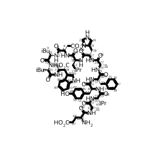 CC[C@H](C)[C@H](NC(=O)[C@H](CC(=O)O)NC(=O)[C@H](CC(C)C)NC(=O)[C@H](Cc1c[nH]cn1)NC(=O)[C@H](C)NC(=O)[C@H](Cc1ccccc1)NC(=O)[C@H](Cc1ccc(O)cc1)NC(=O)[C@@H](NC(=O)[C@H](C)NC(=O)[C@@H](N)CCC(=O)O)C(C)C)C(=O)N[C@H](C(=O)N[C@@H](Cc1c[nH]c2ccccc12)C(=O)O)[C@@H](C)CC